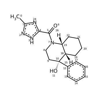 Cc1n[nH]c(C(=O)N2CC[C@](O)(c3ccccc3)[C@H]3CCCC[C@H]32)n1